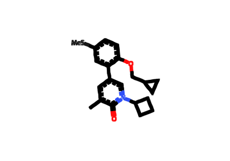 CSc1ccc(OCC2CC2)c(-c2cc(C)c(=O)n(C3CCC3)c2)c1